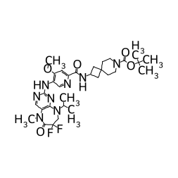 COc1cc(C(=O)NC2CC3(CCN(C(=O)OC(C)(C)C)CC3)C2)ncc1Nc1ncc2c(n1)N(C(C)C)CC(F)(F)C(=O)N2C